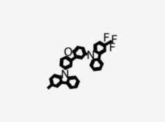 Cc1ccc2c(c1)c1ccccc1n2-c1ccc2oc3ccc(-n4c5ccccc5c5cc(C(F)(F)F)ccc54)cc3c2c1